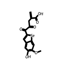 C=C(CC(=O)C(=O)c1cc2cc(O)c(OC)cc2[se]1)C(=O)O